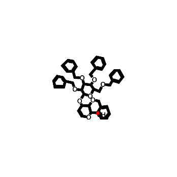 CCC1OC=CC(OC2OC(COCc3ccccc3)C(OCc3ccccc3)C(OCc3ccccc3)C2OCc2ccccc2)C1OCc1ccccc1